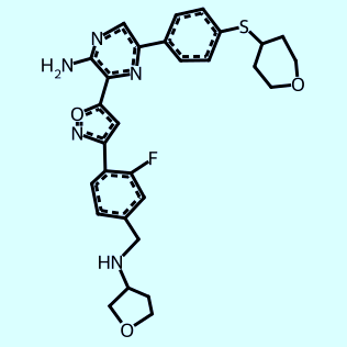 Nc1ncc(-c2ccc(SC3CCOCC3)cc2)nc1-c1cc(-c2ccc(CNC3CCOC3)cc2F)no1